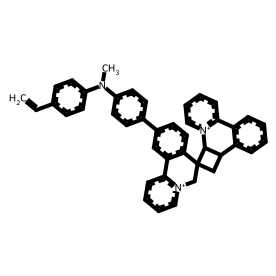 C=Cc1ccc(N(C)c2ccc(-c3ccc4c(c3)-c3cccc[n+]3CC43CC4c5ccccc5-c5cccc[n+]5C43)cc2)cc1